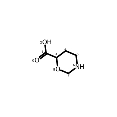 O=C(O)C1CCNCO1